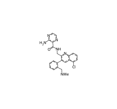 CNCc1ccccc1-c1cc2c(Cl)cccc2nc1CNC(=O)c1nccnc1N